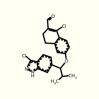 CC(C)C(Oc1ccc2c(c1)CCC(C=O)=C2Cl)c1ccc2c(Cl)n[nH]c2c1